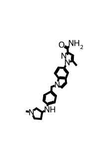 Cc1cc(C(N)=O)nn1-c1ccc2c(ccn2Cc2ccc(NC3CCN(C)C3)cc2)c1